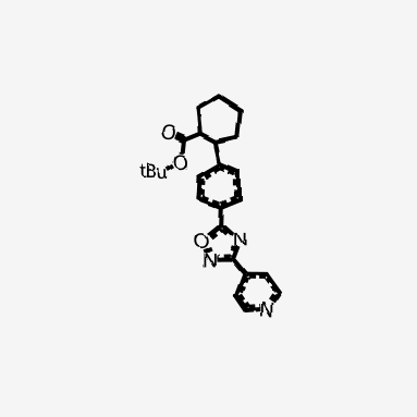 CC(C)(C)OC(=O)C1CCCCC1c1ccc(-c2nc(-c3ccncc3)no2)cc1